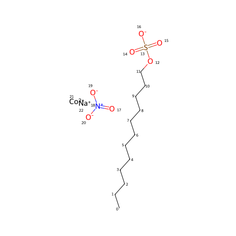 CCCCCCCCCCCCOS(=O)(=O)[O-].O=[N+]([O-])[O-].[Co+2].[Na+]